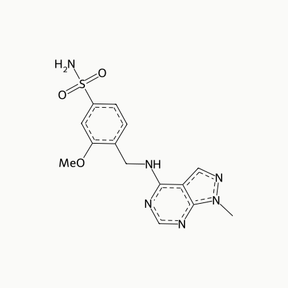 COc1cc(S(N)(=O)=O)ccc1CNc1ncnc2c1cnn2C